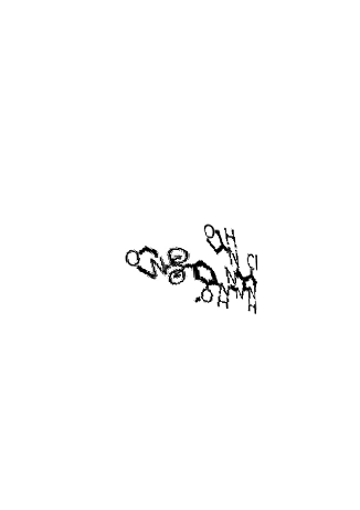 COc1cc(S(=O)(=O)N2CCOCC2)ccc1Nc1nc(NC2CCOC2)c2c(Cl)c[nH]c2n1